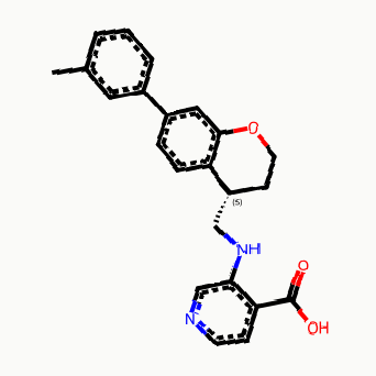 Cc1cccc(-c2ccc3c(c2)OCC[C@@H]3CNc2cnccc2C(=O)O)c1